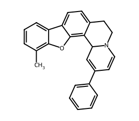 Cc1cccc2c1oc1c3c(ccc12)CCN1C=CC(c2ccccc2)=CC31